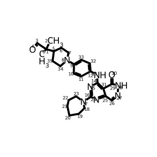 CC(C)(C=O)C1CCN(c2ccc(Nc3nc(N4CCCCCC4)nc4cn[nH]c(=O)c34)cc2)CC1